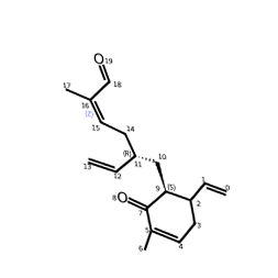 C=CC1CC=C(C)C(=O)[C@H]1C[C@H](C=C)C/C=C(/C)C=O